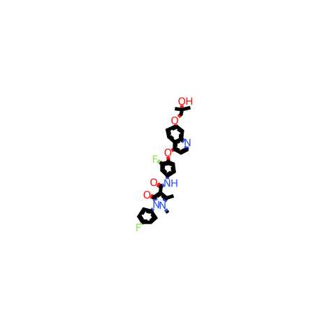 Cc1c(C(=O)Nc2ccc(Oc3ccnc4cc(OCC(C)(C)O)ccc34)c(F)c2)c(=O)n(-c2ccc(F)cc2)n1C